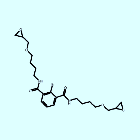 O=C(NCCCCOCC1CO1)c1cccc(C(=O)NCCCCOCC2CO2)c1Br